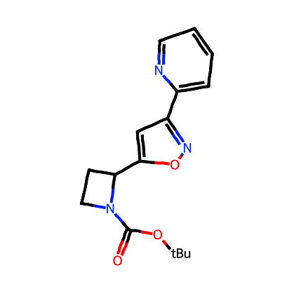 CC(C)(C)OC(=O)N1CCC1c1cc(-c2ccccn2)no1